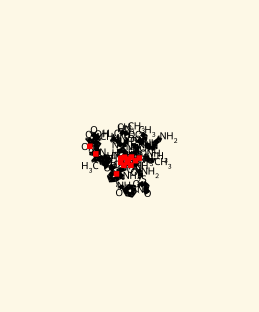 CCc1c2c(nc3ccc(OC(=O)[C@H]4CC[C@H](CNC(=O)[C@H]5CC[C@H](CN6C(=O)CC(SCC(N)C(=O)NC(C(=O)NC(CCCCN)C(=O)NC(CCCNC(=N)N)C(=O)NCC(=O)NC(CC(C)C)C(=O)NC(CCCCN)C(=O)NC(CC(C)C)C(=O)NC(CCCNC(=N)N)C(=O)NC(Cc7cnc[nH]7)C(=O)NC(C(=O)NC)C(C)C)C(C)C)C6=O)CC5)CC4)cc13)-c1cc3c(c(=O)n1C2)COC(=O)[C@]3(O)CC